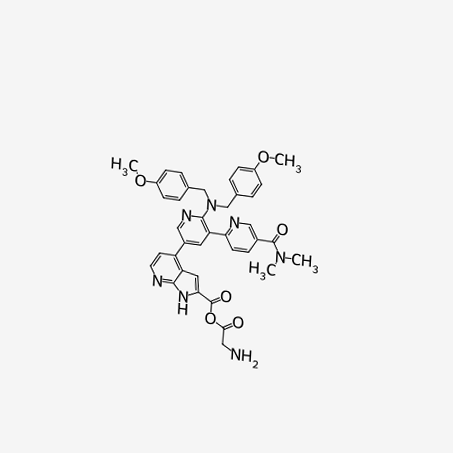 COc1ccc(CN(Cc2ccc(OC)cc2)c2ncc(-c3ccnc4[nH]c(C(=O)OC(=O)CN)cc34)cc2-c2ccc(C(=O)N(C)C)cn2)cc1